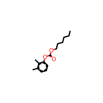 CCCCCCOC(=O)Oc1cccc(C)c1C